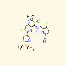 Cc1nc2cc(F)c(-c3ccc(P(C)C)nc3)nc2c(NCc2nc(C#N)ccc2F)c1Cl